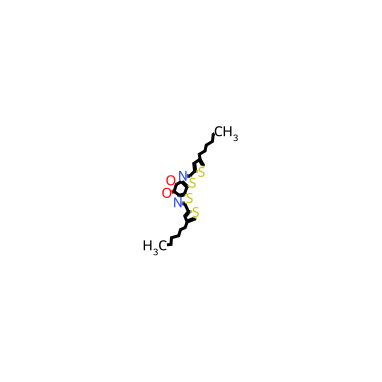 CCCCCCc1csc(-c2nc3c(s2)-c2sc(-c4cc(CCCCCC)cs4)nc2C(=O)C3=O)c1